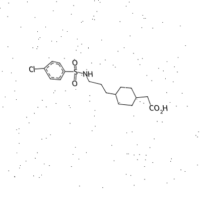 O=C(O)CC1CCC(CCCNS(=O)(=O)c2ccc(Cl)cc2)CC1